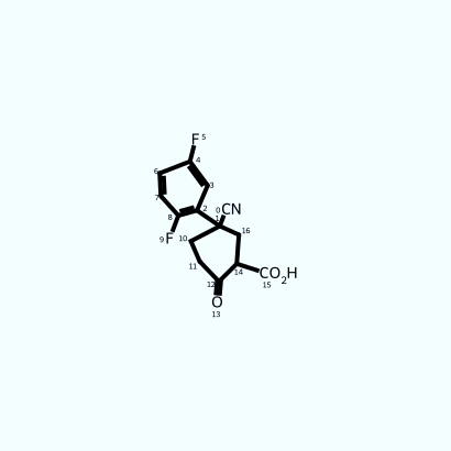 N#CC1(c2cc(F)ccc2F)CCC(=O)C(C(=O)O)C1